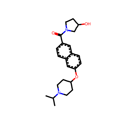 CC(C)N1CCC(Oc2ccc3cc(C(=O)N4CCC(O)C4)ccc3c2)CC1